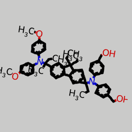 CCC1(CC)c2cc(C(C)(CC)N(c3ccc(OC)cc3)c3ccc(OC)cc3)ccc2-c2cc3c(cc21)C3(CC)N(c1ccc(CO)cc1)c1ccc(CO)cc1